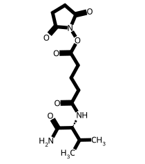 CC(C)[C@@H](NC(=O)CCCC(=O)ON1C(=O)CCC1=O)C(N)=O